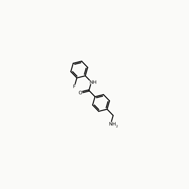 NCc1ccc(C(=O)Nc2ccccc2F)cc1